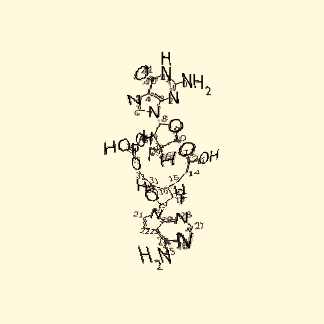 Nc1nc2c(ncn2[C@@H]2OC3OC(O)CC[C@H]4[C@H](F)[C@H](n5ccc6c(N)ncnc65)O[C@@H]4COP(O)O[C@@H]2[C@H]3F)c(=O)[nH]1